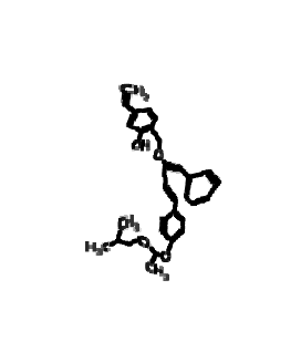 C=Cc1ccc(COC(C=Cc2ccc(OC(C)OCC(C)C)cc2)=Cc2ccccc2)c(O)c1